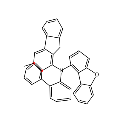 Cc1cc2c(c(N(c3ccccc3-c3ccccc3)c3cccc4oc5ccccc5c34)c1C)Cc1ccccc1-2